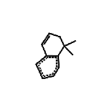 CC1(C)CC=Cc2ccccc21